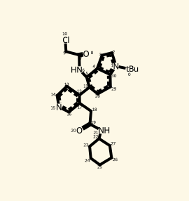 CC(C)(C)n1ccc2c(NC(=O)CCl)c(-c3ccncc3CC(=O)NC3CCCCC3)ccc21